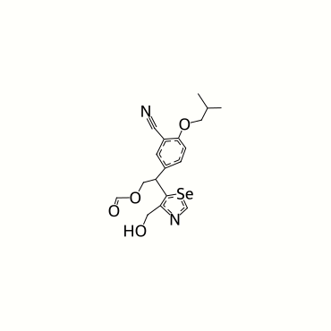 CC(C)COc1ccc(C(COC=O)c2[se]cnc2CO)cc1C#N